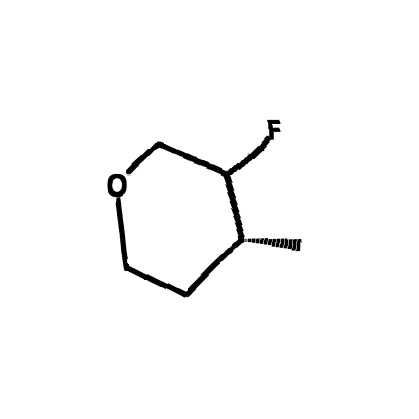 C[C@@H]1CCOCC1F